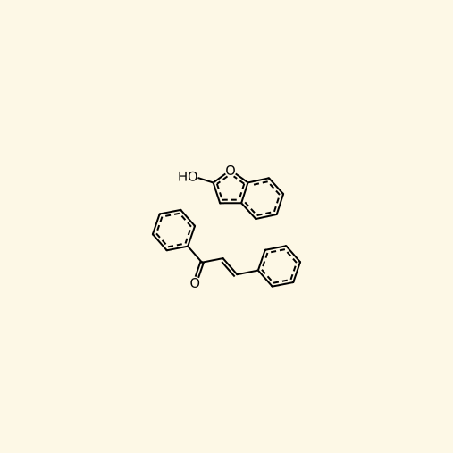 O=C(C=Cc1ccccc1)c1ccccc1.Oc1cc2ccccc2o1